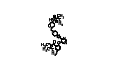 CCN(C(=O)c1cc(F)ccc1Oc1cncnc1N1CC2(CCN(C[C@@H]3CC[C@@H](NS(=O)(=O)C(C)C)CO3)CC2)C1)C(C)C